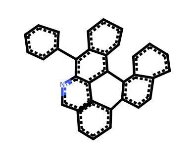 c1ccc(-c2ccc3ccccc3c2-c2c3ccccc3c(-c3ccccc3)c3ncccc23)cc1